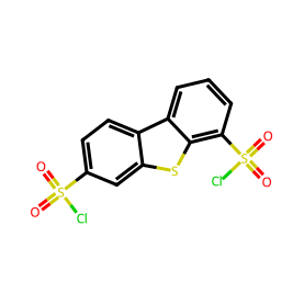 O=S(=O)(Cl)c1ccc2c(c1)sc1c(S(=O)(=O)Cl)cccc12